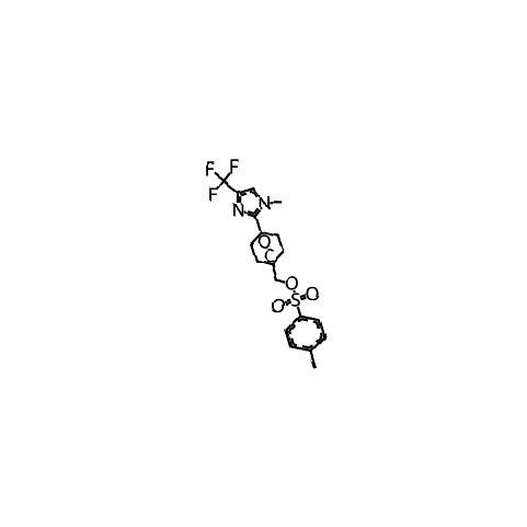 Cc1ccc(S(=O)(=O)OCC23CCC(c4nc(C(F)(F)F)cn4C)(CC2)OC3)cc1